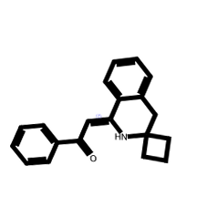 O=C(/C=C1\NC2(CCC2)Cc2ccccc21)c1ccccc1